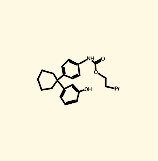 CC(C)CCOC(=O)Nc1ccc(C2(c3cccc(O)c3)CCCCC2)cc1